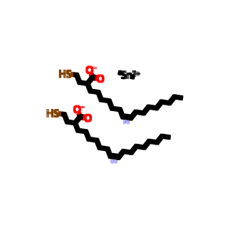 CCCCCCCC/C=C\CCCCCCC(CCS)C(=O)[O-].CCCCCCCC/C=C\CCCCCCC(CCS)C(=O)[O-].[CH3][Sn+2][CH3]